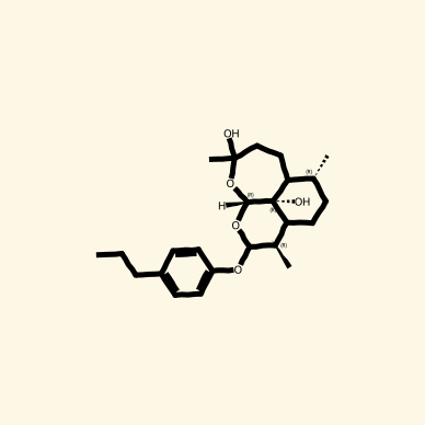 CCCc1ccc(OC2O[C@@H]3OC(C)(O)CCC4[C@H](C)CCC([C@H]2C)[C@]43O)cc1